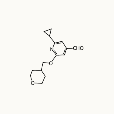 O=Cc1cc(OCC2CCOCC2)nc(C2CC2)c1